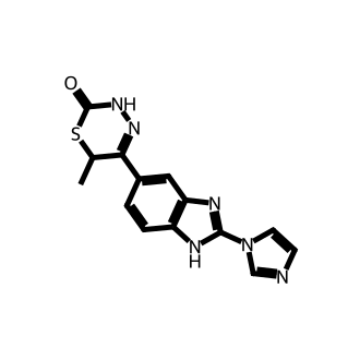 CC1SC(=O)NN=C1c1ccc2[nH]c(-n3ccnc3)nc2c1